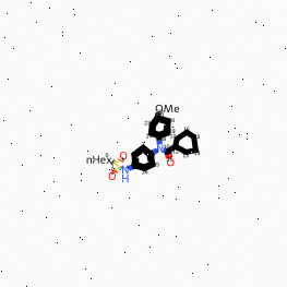 CCCCCCS(=O)(=O)Nc1ccc(N(C(=O)C2CCCCC2)c2ccc(OC)cc2)cc1